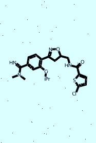 CC(C)Oc1cc(C(=N)N(C)C)ccc1C1=NOC(CNC(=O)c2ccc(Cl)s2)C1